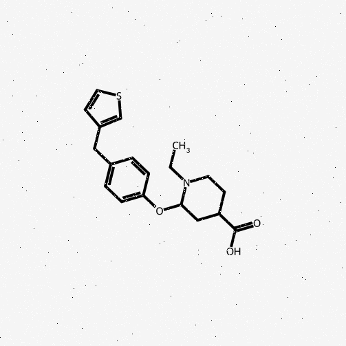 CCN1CCC(C(=O)O)CC1Oc1ccc(Cc2ccsc2)cc1